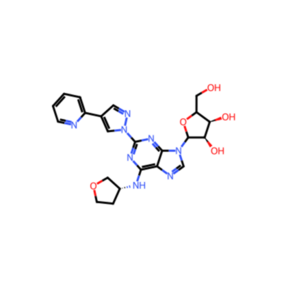 OCC1OC(n2cnc3c(N[C@@H]4CCOC4)nc(-n4cc(-c5ccccn5)cn4)nc32)[C@H](O)[C@@H]1O